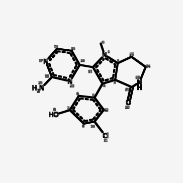 Cn1c2c(c(-c3cc(O)cc(Cl)c3)c1-c1ccnc(N)n1)C(=O)NCC2